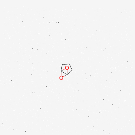 C1CC23OC2(C1)O3